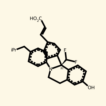 CC(C)Cc1ccc(N2CCc3cc(O)ccc3[C@]2(c2ccc(C=CC(=O)O)cc2)C(F)F)cc1